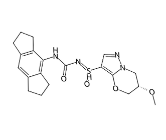 CO[C@@H]1COc2c([SH](=O)=NC(=O)Nc3c4c(cc5c3CCC5)CCC4)cnn2C1